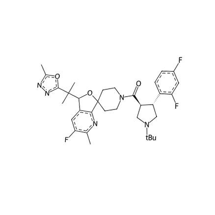 Cc1nnc(C(C)(C)C2OC3(CCN(C(=O)[C@@H]4CN(C(C)(C)C)C[C@H]4c4ccc(F)cc4F)CC3)c3nc(C)c(F)cc32)o1